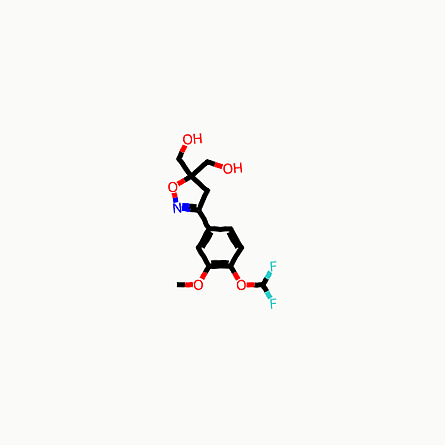 COc1cc(C2=NOC(CO)(CO)C2)ccc1OC(F)F